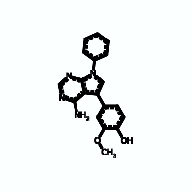 COc1cc(-c2cn(-c3ccccc3)c3ncnc(N)c23)ccc1O